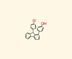 COc1ccc(C2c3ccccc3-c3cccc(-c4ccc(O)cc4)c32)cc1